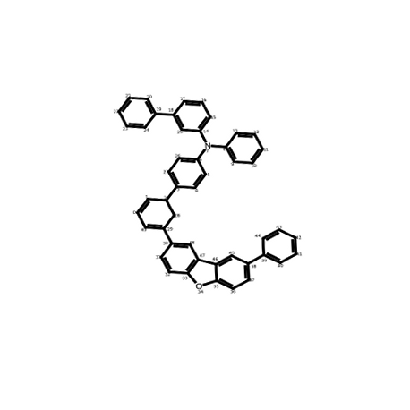 C1=CC(c2ccc(N(c3ccccc3)c3cccc(-c4ccccc4)c3)cc2)CC(c2ccc3oc4ccc(-c5ccccc5)cc4c3c2)=C1